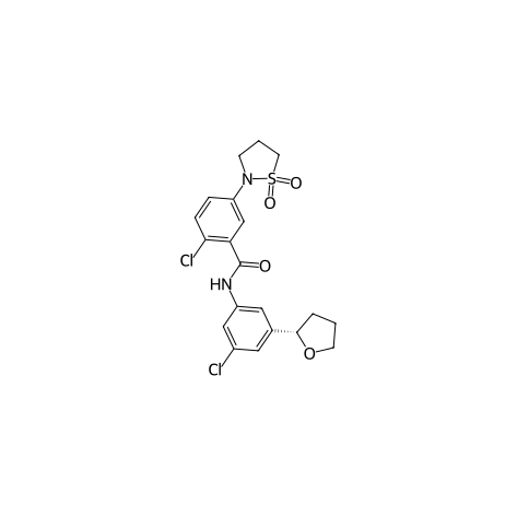 O=C(Nc1cc(Cl)cc([C@@H]2CCCO2)c1)c1cc(N2CCCS2(=O)=O)ccc1Cl